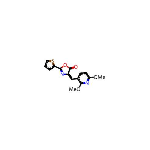 COc1ccc(/C=C2/N=C(c3cccs3)OC2=O)c(OC)n1